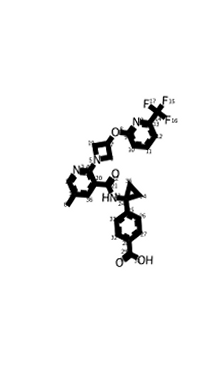 Cc1cnc(N2CC(Oc3cccc(C(F)(F)F)n3)C2)c(C(=O)NC2(c3ccc(C(=O)O)cc3)CC2)c1